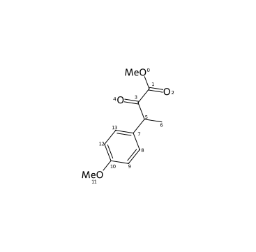 COC(=O)C(=O)C(C)c1ccc(OC)cc1